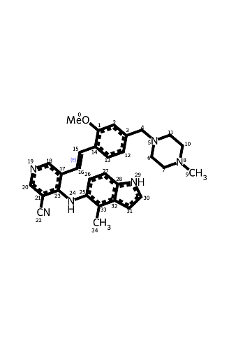 COc1cc(CN2CCN(C)CC2)ccc1/C=C/c1cncc(C#N)c1Nc1ccc2[nH]ccc2c1C